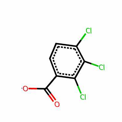 [O]C(=O)c1ccc(Cl)c(Cl)c1Cl